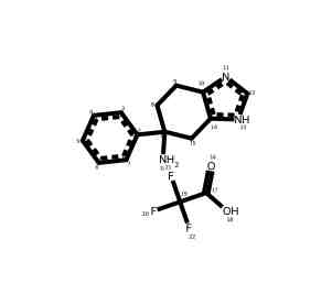 NC1(c2ccccc2)CCc2nc[nH]c2C1.O=C(O)C(F)(F)F